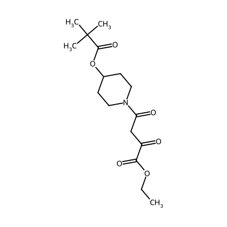 CCOC(=O)C(=O)CC(=O)N1CCC(OC(=O)C(C)(C)C)CC1